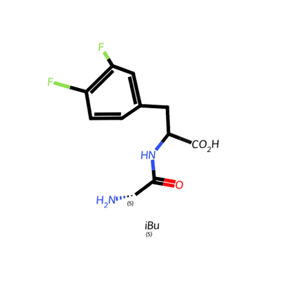 CC[C@H](C)[C@H](N)C(=O)NC(Cc1ccc(F)c(F)c1)C(=O)O